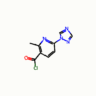 Cc1nc(-n2cncn2)ccc1C(=O)Cl